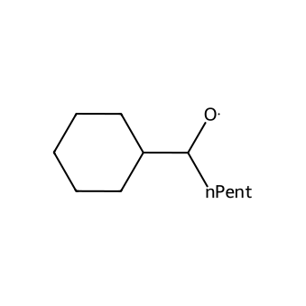 CCCCCC([O])C1CCCCC1